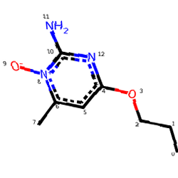 CCCOc1cc(C)[n+]([O-])c(N)n1